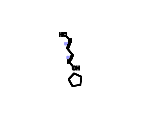 C1CCCC1.O/N=C/C=N/O